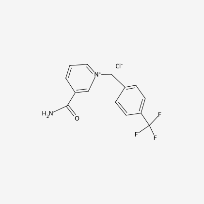 NC(=O)c1ccc[n+](Cc2ccc(C(F)(F)F)cc2)c1.[Cl-]